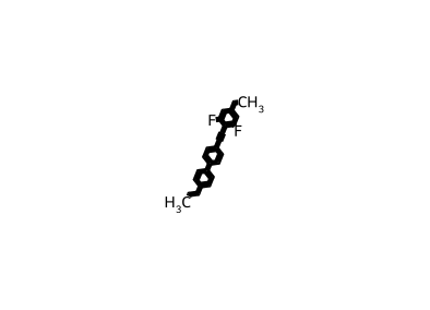 CCCc1ccc(-c2ccc(C#Cc3c(F)cc(CC)cc3F)cc2)cc1